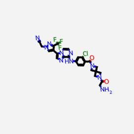 N#CCn1cc(-c2cnc3c(Nc4ccc(C(=O)N5CC6(CN(C(=O)CN)C6)C5)c(Cl)c4)nccn23)c(C(F)(F)F)n1